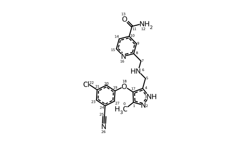 Cc1n[nH]c(CNCc2cc(C(N)=O)ccn2)c1Oc1cc(Cl)cc(C#N)c1